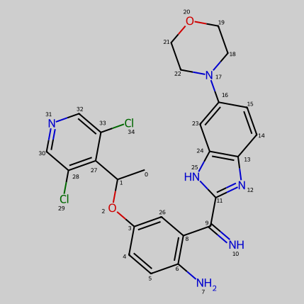 CC(Oc1ccc(N)c(C(=N)c2nc3ccc(N4CCOCC4)cc3[nH]2)c1)c1c(Cl)cncc1Cl